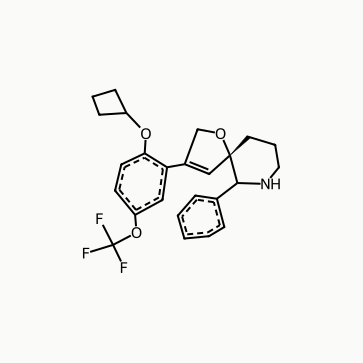 FC(F)(F)Oc1ccc(OC2CCC2)c(C2=C[C@]3(CCCNC3c3ccccc3)OC2)c1